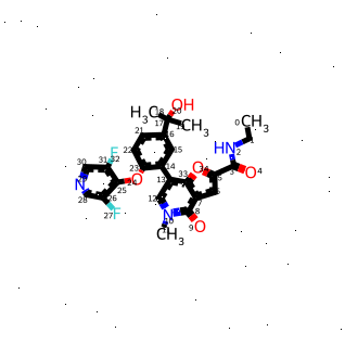 CCNC(=O)c1cc2c(=O)n(C)cc(-c3cc(C(C)(C)O)ccc3Oc3c(F)cncc3F)c2o1